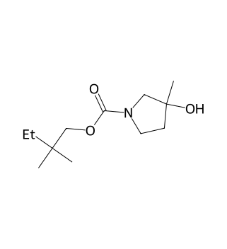 CCC(C)(C)COC(=O)N1CCC(C)(O)C1